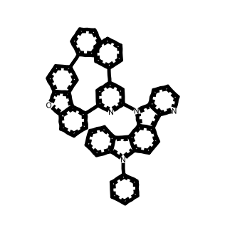 c1ccc(-c2cc(-c3cccc4oc5ccc(-c6ccccc6)cc5c34)nc(-n3c4cccnc4c4ccc5c(c6ccccc6n5-c5ccccc5)c43)c2)cc1